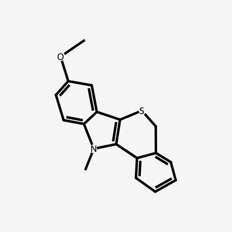 COc1ccc2c(c1)c1c(n2C)-c2ccccc2CS1